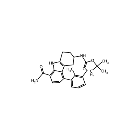 Cc1c(F)cccc1-c1ccc(C(N)=O)c2[nH]c3c(c12)CC(NC(=O)OC(C)(C)C)CC3